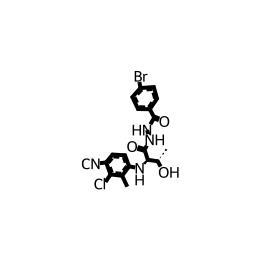 [C-]#[N+]c1ccc(N[C@@H](C(=O)NNC(=O)c2ccc(Br)cc2)[C@H](C)O)c(C)c1Cl